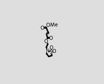 COC(=O)/C=C/C(=O)OCCN1CCCS1(=O)=O